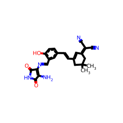 CC1(C)CC(/C=C/c2ccc(O)c(/C=N/C3=C(N)C(=O)NC3=O)c2)=CC(=C(C#N)C#N)C1